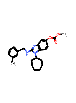 COC(=O)Oc1ccc2c(c1)nc(NCc1cccc(C)c1)n2C1CCCCCC1